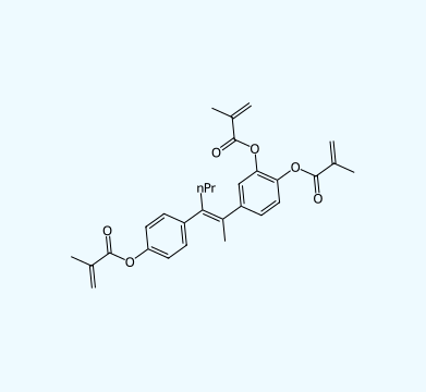 C=C(C)C(=O)Oc1ccc(/C(CCC)=C(\C)c2ccc(OC(=O)C(=C)C)c(OC(=O)C(=C)C)c2)cc1